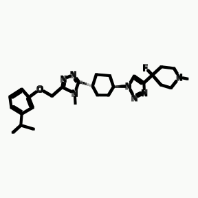 CC(C)c1cccc(OCc2nnc([C@H]3CC[C@H](n4cc(C5(F)CCN(C)CC5)nn4)CC3)n2C)c1